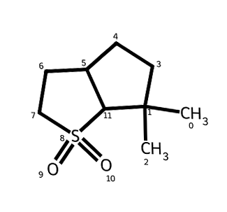 CC1(C)CCC2CCS(=O)(=O)C21